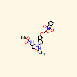 CC(C)(C)OC(=O)NCC1CCN(/C(=N\C(=O)C(F)(F)F)N2CCc3cc(OCCON4C(=O)c5ccccc5C4=O)ccc3C2)C1